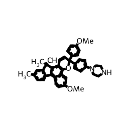 COc1ccc(C2(c3ccc(N4CCNCC4)cc3)C=Cc3c4c(c5ccc(OC)cc5c3O2)-c2ccc(C)cc2C4(C)C)cc1